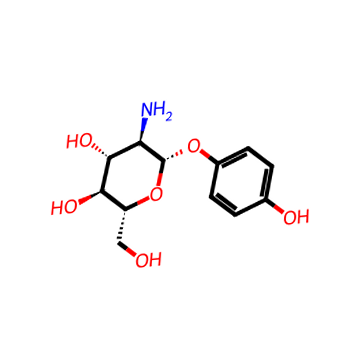 N[C@H]1[C@H](Oc2ccc(O)cc2)O[C@H](CO)[C@@H](O)[C@@H]1O